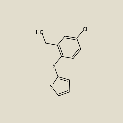 OCc1cc(Cl)ccc1Sc1cccs1